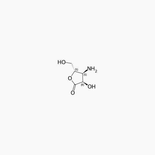 N[C@@H]1[C@@H](CO)OC(=O)[C@@H]1O